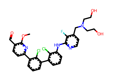 COc1nc(-c2cccc(-c3cccc(Nc4nccc(CN(CCO)CCO)c4F)c3Cl)c2Cl)ccc1C=O